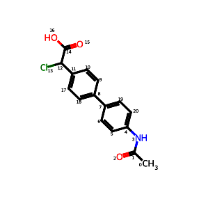 CC(=O)Nc1ccc(-c2ccc(C(Cl)C(=O)O)cc2)cc1